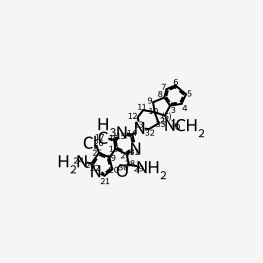 C=N[C@@H]1c2ccccc2CC12CCN(c1nc(C)c(-c3ccnc(N)c3Cl)c(C(N)=O)n1)CC2